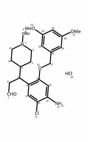 CCCCN1CCC(C(CC=O)c2cc(Cl)c(N)cc2OCc2cc(OC)cc(OC)c2)CC1.Cl